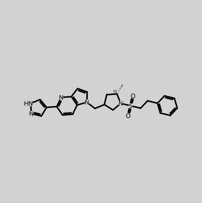 C[C@H]1CC(Cn2ccc3nc(-c4cn[nH]c4)ccc32)CN1S(=O)(=O)CCc1ccccc1